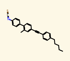 CCCCCc1ccc(C#Cc2ccc(-c3ccc(N=C=S)cc3)c(C)c2)cc1